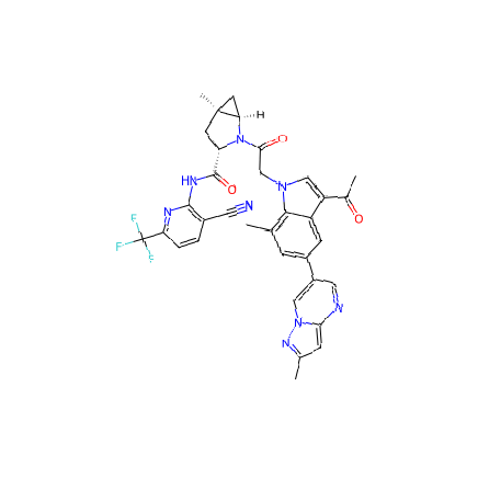 CC(=O)c1cn(CC(=O)N2[C@H](C(=O)Nc3nc(C(F)(F)F)ccc3C#N)C[C@@]3(C)C[C@@H]23)c2c(C)cc(-c3cnc4cc(C)nn4c3)cc12